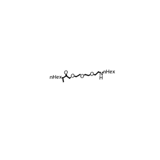 CCCCCCNCCOCCOCCOCC(=O)C(C)CCCCCC